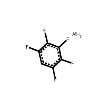 Fc1[c]c(F)c(F)c(F)c1F.[AlH3]